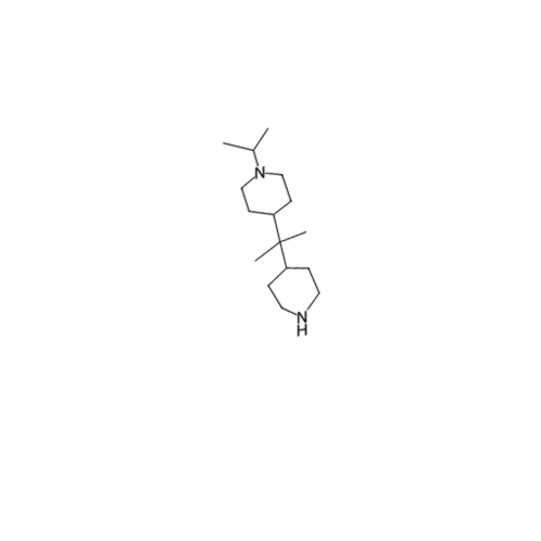 CC(C)N1CCC(C(C)(C)C2CCNCC2)CC1